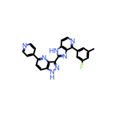 Cc1cc(F)cc(-c2nccc3[nH]c(-c4n[nH]c5ccc(-c6ccncc6)nc45)nc23)c1